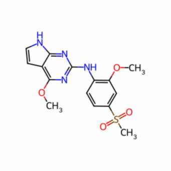 COc1cc(S(C)(=O)=O)ccc1Nc1nc(OC)c2cc[nH]c2n1